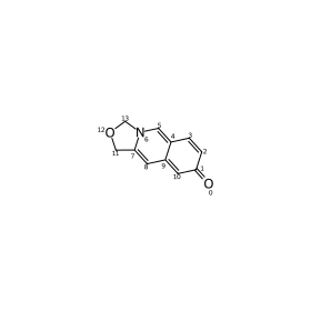 O=c1ccc2cn3c(cc-2c1)COC3